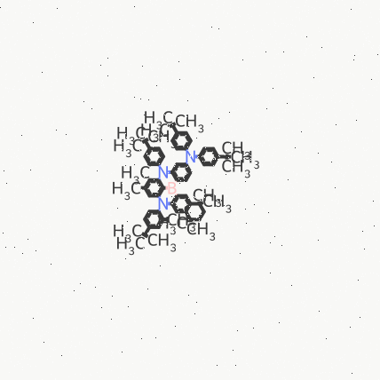 Cc1cc2c3c(c1)N(c1ccc(C(C)(C)C)cc1C)c1cc4c(cc1B3c1ccc(N(c3ccc(C(C)(C)C)cc3)c3ccc(C(C)(C)C)cc3)cc1N2c1ccc(C(C)(C)C)cc1C)C(C)(C)CCC4(C)C